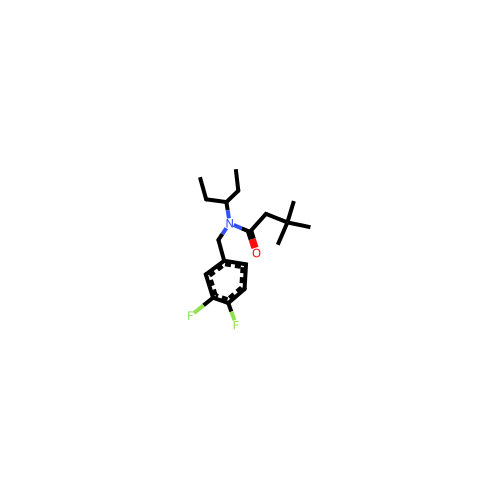 CCC(CC)N(Cc1ccc(F)c(F)c1)C(=O)CC(C)(C)C